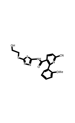 COc1ccccc1-c1nc(C#N)ccc1C(=O)Nc1nnc(SCCO)s1